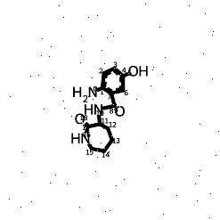 Nc1ccc(O)cc1C(=O)NC1CCCCNC1=O